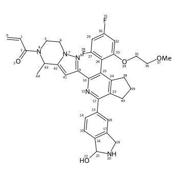 C=CC(=O)N1CCn2nc(-c3nc(-c4ccc5c(c4)CNC5O)c4c(c3-c3c(F)cc(F)cc3OCCOC)CCC4)cc2C1C